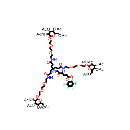 CC(=O)NC1C(OCCOCCOCCNC(=O)CCC(CCC(=O)NCCOCCOCCOC2OC(COC(C)=O)C(OC(C)=O)C(OC(C)=O)C2NC(C)=O)(CCC(=O)NCCOCCOCCOC2OC(COC(C)=O)C(OC(C)=O)C(OC(C)=O)C2NC(C)=O)NCC(=O)CCCC(=O)Oc2c(F)c(F)c(F)c(F)c2F)OC(COC(C)=O)C(OC(C)=O)C1OC(C)=O